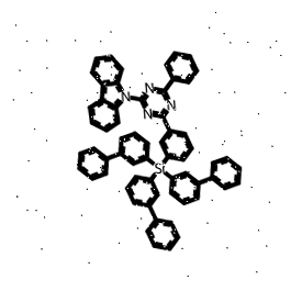 c1ccc(-c2cccc([Si](c3cccc(-c4ccccc4)c3)(c3cccc(-c4ccccc4)c3)c3cccc(-c4nc(-c5ccccc5)nc(-n5c6ccccc6c6ccccc65)n4)c3)c2)cc1